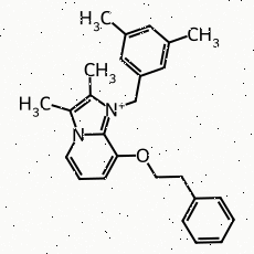 Cc1cc(C)cc(C[n+]2c(C)c(C)n3cccc(OCCc4ccccc4)c32)c1